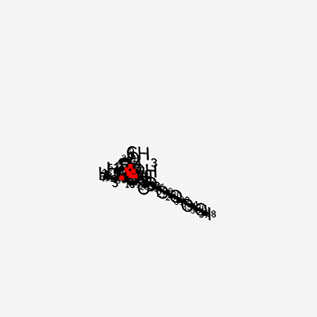 CO[C@@]12CC[C@@]3(C[C@@H]1[C@](C)(O)C(C)(C)C)[C@H]1Cc4ccc(OC(=O)OCCOCCOCCOCCOCI)c5c4[C@@]3(CCN1CC1CC1)[C@H]2O5